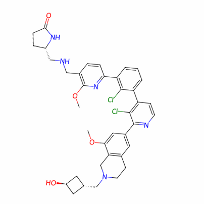 COc1cc(-c2nccc(-c3cccc(-c4ccc(CNC[C@@H]5CCC(=O)N5)c(OC)n4)c3Cl)c2Cl)cc2c1CN(C[C@H]1C[C@H](O)C1)CC2